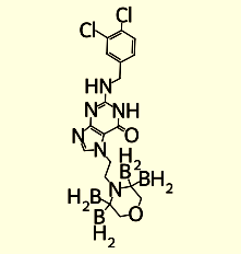 BC1(B)COCC(B)(B)N1CCn1cnc2nc(NCc3ccc(Cl)c(Cl)c3)[nH]c(=O)c21